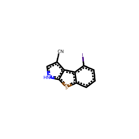 N#Cc1c[nH]c2sc3cccc(I)c3c12